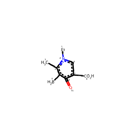 Bc1c(C)n(CC)cc(C(=O)O)c1=O